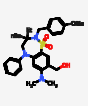 CCCCC1(CC)CN(c2ccccc2)c2cc(N(C)C)c(CO)cc2S(=O)(=O)N1Cc1ccc(OC)cc1